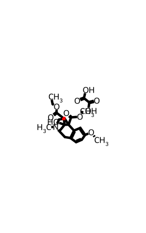 CCOC(=O)CC1(O)C2Cc3ccc(OC)cc3C1(C(=O)OC)CCN2C.O=C(O)C(=O)O